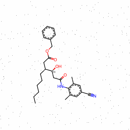 CCCCCCC(CC(=O)OCc1ccccc1)[C@@H](O)CC(=O)Nc1c(C)cc(C#N)cc1C